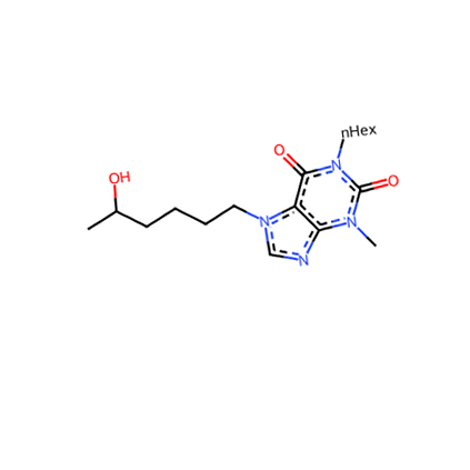 CCCCCCn1c(=O)c2c(ncn2CCCCC(C)O)n(C)c1=O